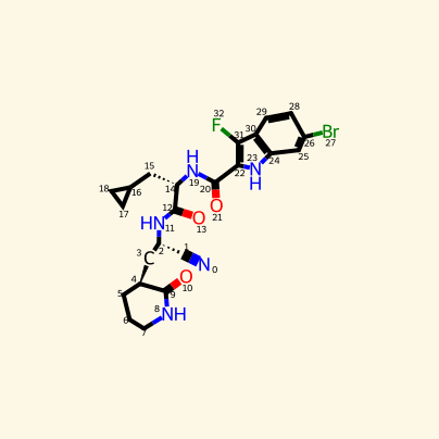 N#C[C@H](C[C@@H]1CCCNC1=O)NC(=O)[C@H](CC1CC1)NC(=O)c1[nH]c2cc(Br)ccc2c1F